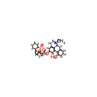 Cc1ccccc1S(=O)(=O)OC(C)Oc1cc2c3c(c1)-c1c(O)cccc1CC3N(C)CC2